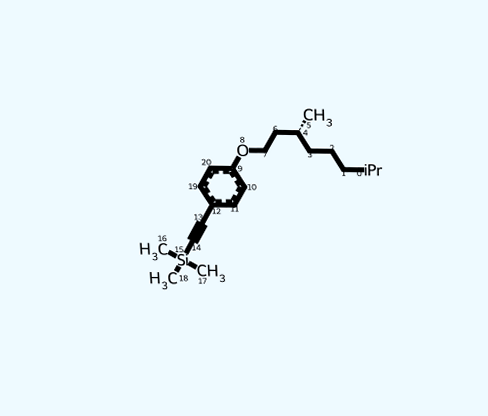 CC(C)CCC[C@@H](C)CCOc1ccc(C#C[Si](C)(C)C)cc1